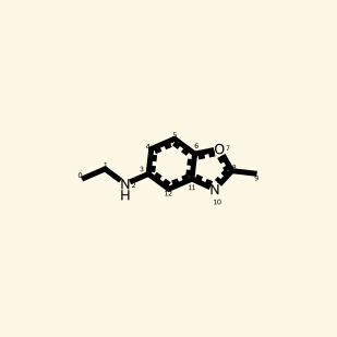 CCNc1ccc2oc(C)nc2c1